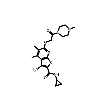 Cc1c(Cl)c(OCC(=O)N2CCN(C)CC2)nc2sc(C(=O)NC3CC3)c(N)c12